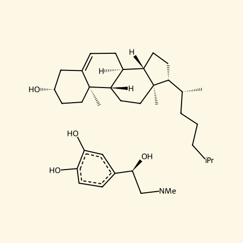 CC(C)CCC[C@@H](C)[C@H]1CC[C@H]2[C@@H]3CC=C4C[C@@H](O)CC[C@]4(C)[C@H]3CC[C@]12C.CNC[C@H](O)c1ccc(O)c(O)c1